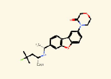 CC(C)(F)C[C@H](N[C@@H](c1ccc2c(c1)oc1ccc(N3CCOCC3=O)cc12)C(F)(F)F)C(=O)O